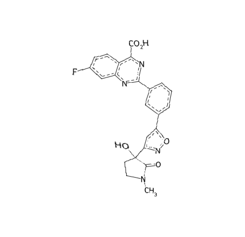 CN1CCC(O)(c2cc(-c3cccc(-c4nc(C(=O)O)c5ccc(F)cc5n4)c3)on2)C1=O